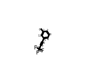 Cc1cccc(C#CC(F)(F)F)c1